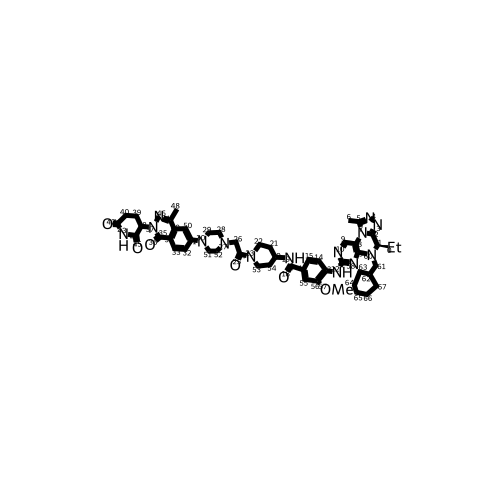 CC[C@@H]1c2nnc(C)n2-c2cnc(Nc3ccc(C(=O)NC4CCN(C(=O)CN5CCN(c6ccc7c(=O)n(C8CCC(=O)NC8=O)nc(C)c7c6)CC5)CC4)cc3OC)nc2N1CC1CCCCC1